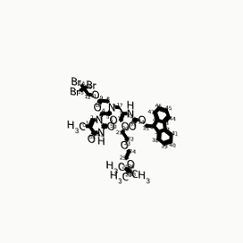 Cc1cn(CC(=O)N(CC(=O)OCC(Br)(Br)Br)C[C@H](COCCOCCOC(C)(C)C)NC(=O)OCC2c3ccccc3-c3ccccc32)c(=O)[nH]c1=O